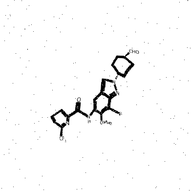 COc1c(NC(=O)c2cccc(C(F)(F)F)n2)cc2cn([C@H]3CC[C@H](C=O)CC3)nc2c1F